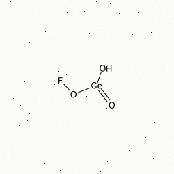 [O]=[Ge]([OH])[O]F